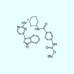 CC(C)(C)OC(=O)Nc1ccc(C(=O)NC2CCC[C@@H](Nc3nccc(-c4c[nH]c5ccccc45)n3)C2)cc1